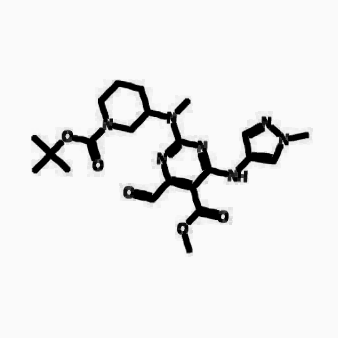 COC(=O)c1c(C=O)nc(N(C)C2CCCN(C(=O)OC(C)(C)C)C2)nc1Nc1cnn(C)c1